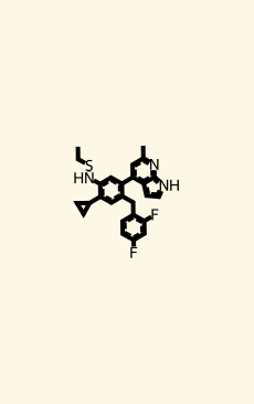 CCSNc1cc(-c2cc(C)nc3[nH]ccc23)c(Cc2ccc(F)cc2F)cc1C1CC1